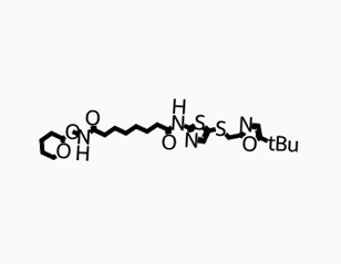 CC(C)(C)c1cnc(CSc2cnc(NC(=O)CCCCCCC(=O)NOC3CCCCO3)s2)o1